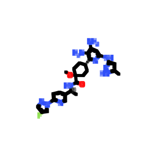 CO[C@]1(C(=O)N[C@@H](C)c2ccc(-n3cc(F)cn3)nc2)CC[C@@H](c2nc(Nc3cc(C)[nH]n3)cc(N)c2N)CC1